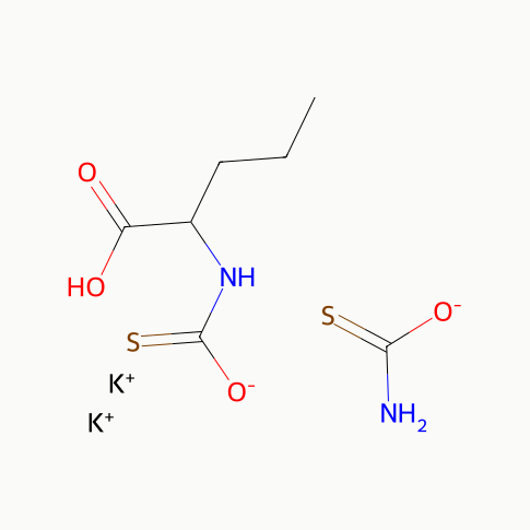 CCCC(NC([O-])=S)C(=O)O.NC([O-])=S.[K+].[K+]